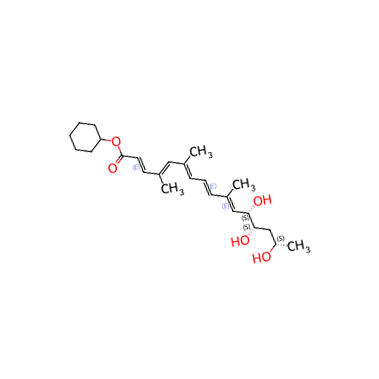 CC(=C/C=C/C(C)=C/[C@H](O)[C@@H](O)C[C@H](C)O)C=C(C)/C=C/C(=O)OC1CCCCC1